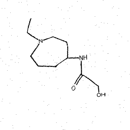 CCN1CCCC(NC(=O)CO)CC1